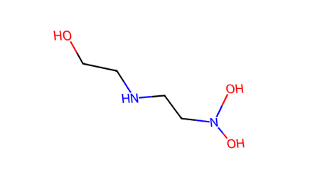 OCCNCCN(O)O